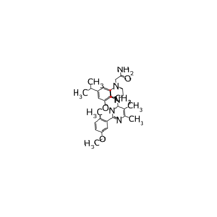 COc1ccc(C)c(C2=NC(C)=C(C)C(N3CCN(CC(N)=O)CC3)N2Oc2cc(C(C)C)ccc2C)c1